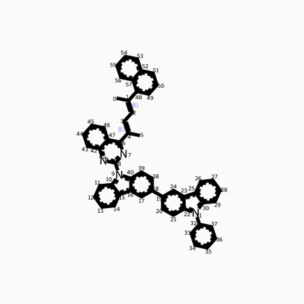 C/C(=C\C=C(/C)c1nc(-n2c3ccccc3c3cc(-c4ccc5c(c4)c4ccccc4n5-c4ccccc4)ccc32)nc2ccccc12)c1cccc2ccccc12